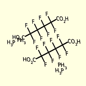 O=C(O)C(F)(F)C(F)(F)C(F)(F)C(F)(F)C(=O)O.O=C(O)C(F)(F)C(F)(F)C(F)(F)C(F)(F)C(=O)O.P.P.P.P